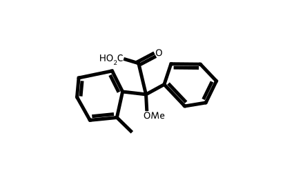 COC(C(=O)C(=O)O)(c1ccccc1)c1ccccc1C